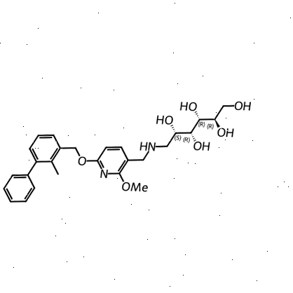 COc1nc(OCc2cccc(-c3ccccc3)c2C)ccc1CNC[C@H](O)[C@@H](O)[C@H](O)[C@H](O)CO